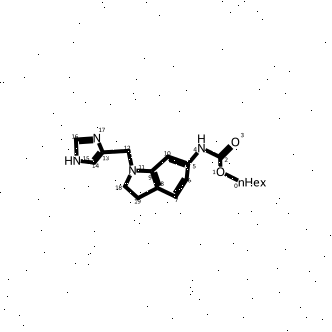 CCCCCCOC(=O)Nc1ccc2c(c1)N(Cc1c[nH]cn1)CC2